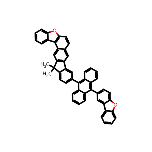 CC1(C)c2ccc(-c3c4ccccc4c(-c4ccc5oc6ccccc6c5c4)c4ccccc34)cc2-c2cc3ccc4oc5ccccc5c4c3cc21